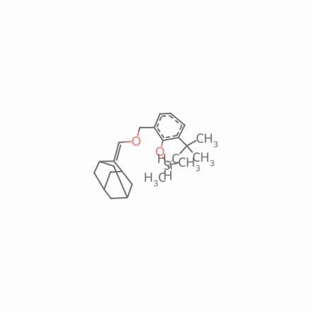 C[SiH](C)Oc1c(COC=C2C3CC4CC(C3)CC2C4)cccc1C(C)(C)C